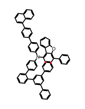 c1ccc(-c2cc(-c3ccccc3)cc(-c3ccccc3-c3ccc(N(c4ccc(-c5ccc(-c6cccc7ccccc67)cc5)cc4)c4ccc(-c5ccccc5)c5oc6ccccc6c45)cc3)c2)cc1